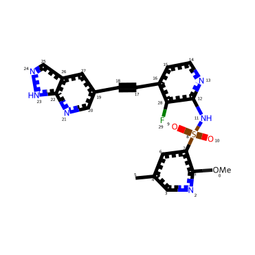 COc1ncc(C)cc1S(=O)(=O)Nc1nccc(C#Cc2cnc3[nH]ncc3c2)c1F